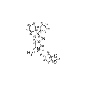 CC[N+]1(CCc2ccc3c(c2)OCO3)CC2C(CC(C#N)(c3ccccc3)c3ccccc3)C2C1